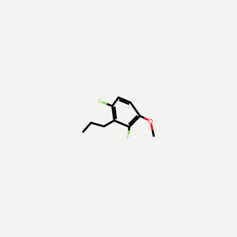 CCCc1c(F)ccc(OC)c1F